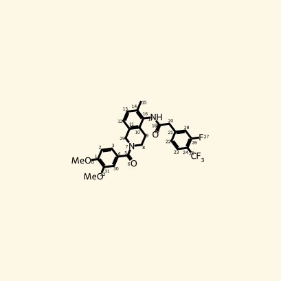 COc1ccc(C(=O)N2CCc3c(ccc(C)c3NC(=O)Cc3ccc(C(F)(F)F)c(F)c3)C2)cc1OC